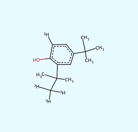 [2H]c1cc(C(C)(C)C)cc(C(C)(C)C([2H])([2H])[2H])c1O